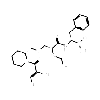 CC(C)C=C(C#N)C(=O)N1CCCC[C@@H]1COC[C@H](NCC(F)(F)F)C(=O)N[C@@H](Cc1ccccc1)B(O)O